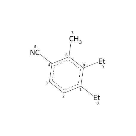 CCc1ccc(C#N)c(C)c1CC